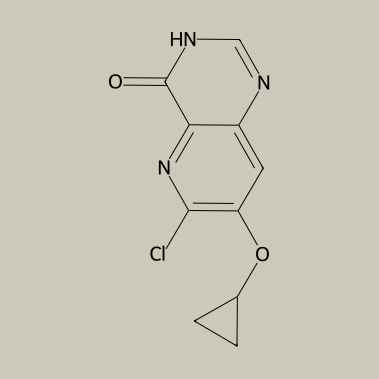 O=c1[nH]cnc2cc(OC3CC3)c(Cl)nc12